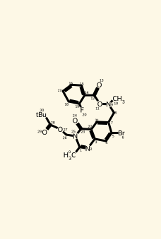 Cc1nc2cc(Br)c(CN(C)OC(=O)c3ccccc3F)cc2c(=O)n1COC(=O)C(C)(C)C